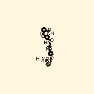 COC(=O)[C@@H]1CCCN1CCOc1ccc(-c2ncc(CNC(=O)c3ccc4c(c3)NC(=O)c3ccccc3S4(=O)=O)s2)cc1